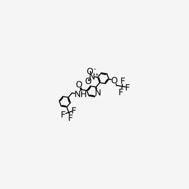 O=C(NCc1cccc(C(F)(F)F)c1)c1ccnc(-c2cc(OCC(F)(F)F)ccc2[N+](=O)[O-])c1